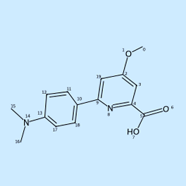 COc1cc(C(=O)O)nc(-c2ccc(N(C)C)cc2)c1